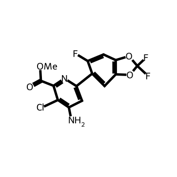 COC(=O)c1nc(-c2cc3c(cc2F)OC(F)(F)O3)cc(N)c1Cl